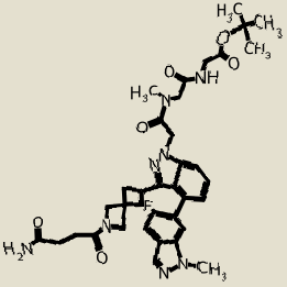 CN(CC(=O)NCC(=O)OC(C)(C)C)C(=O)Cn1nc(C2CC3(C2)CN(C(=O)CCC(N)=O)C3)c2c(-c3cc4c(cnn4C)cc3F)cccc21